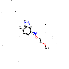 CCCCOCCONc1ccc(C)c(N)c1